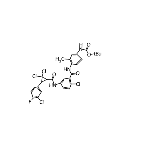 Cc1cc(NC(=O)OC(C)(C)C)ccc1NC(=O)c1cc(NC(=O)C2C(c3ccc(F)c(Cl)c3)C2(Cl)Cl)ccc1Cl